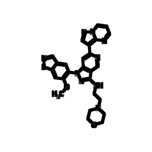 COc1cc2sncc2cc1-n1nc(NCCN2CCOCC2)c2cnc(-c3cnn4cccnc34)cc21